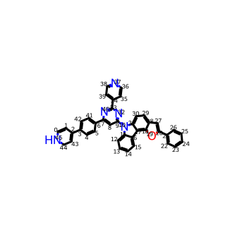 C1=CC(c2ccc(-c3cc(-n4c5ccccc5c5c6oc(-c7ccccc7)cc6ccc54)nc(-c4ccncc4)n3)cc2)=CCN1